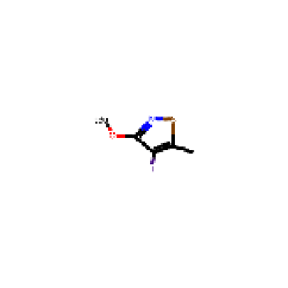 Cc1snc(OC(C)(C)C)c1I